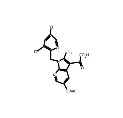 COc1cnc2c(c1)c(C(=O)C(=O)O)c(C)n2Cc1ncc(Cl)cc1Cl